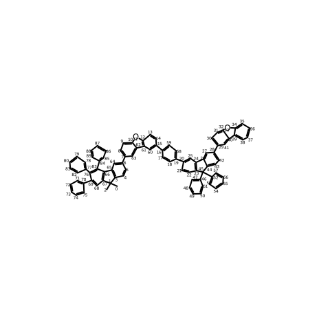 CC1(C)c2ccc(-c3ccc4oc5ccc(-c6ccc(-c7ccc8c(c7)-c7cc(-c9ccc%10oc%11ccccc%11c%10c9)ccc7C8(c7ccccc7)c7ccccc7)cc6)cc5c4c3)cc2-c2c1cc(-c1ccccc1)c(-c1ccccc1)c2-c1ccccc1